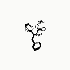 CC(C)(C)OC(=O)NC(Cc1ccccc1)c1nccs1